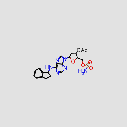 CC(=O)OC1CC(n2cnc3c(NC4CCc5ccccc54)ncnc32)OC1COS(N)(=O)=O